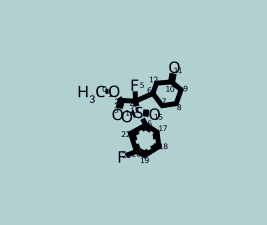 COC(=O)C(F)(C1CCCC(=O)C1)S(=O)(=O)c1cccc(F)c1